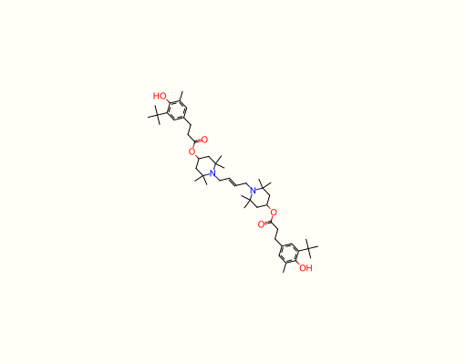 Cc1cc(CCC(=O)OC2CC(C)(C)N(CC=CCN3C(C)(C)CC(OC(=O)CCc4cc(C)c(O)c(C(C)(C)C)c4)CC3(C)C)C(C)(C)C2)cc(C(C)(C)C)c1O